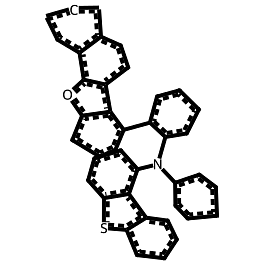 c1ccc(N(c2ccccc2-c2cccc3oc4c5ccccc5ccc4c23)c2cccc3sc4ccccc4c23)cc1